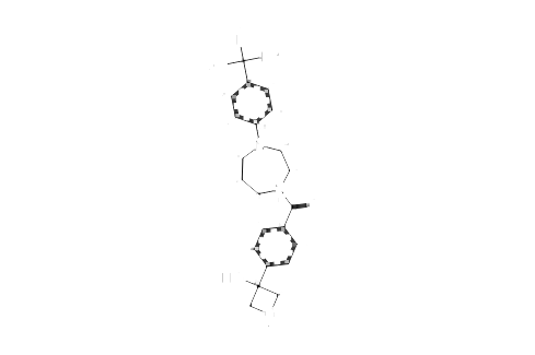 O=C(c1ccc(C2(O)COC2)cc1)N1CCCN(c2ccc(C(F)(F)F)cc2)CC1